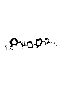 Cc1ncn(-c2ccc(N3CCN(C(=O)Nc4cccc(C(F)(F)F)c4)CC3)c(F)c2)n1